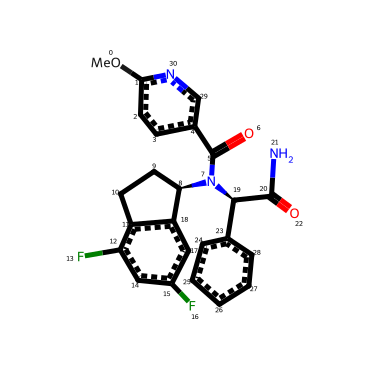 COc1ccc(C(=O)N([C@@H]2CCc3c(F)cc(F)cc32)[C@@H](C(N)=O)c2ccccc2)cn1